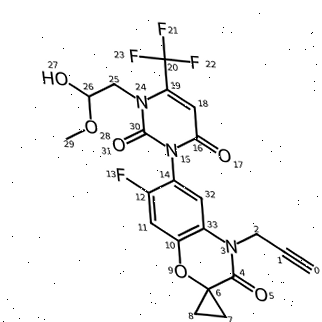 C#CCN1C(=O)C2(CC2)Oc2cc(F)c(-n3c(=O)cc(C(F)(F)F)n(CC(O)OC)c3=O)cc21